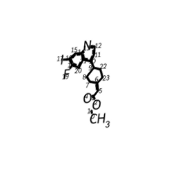 CCOC(=O)C=C1CCC(c2ccnc3cc(I)c(F)cc23)CC1